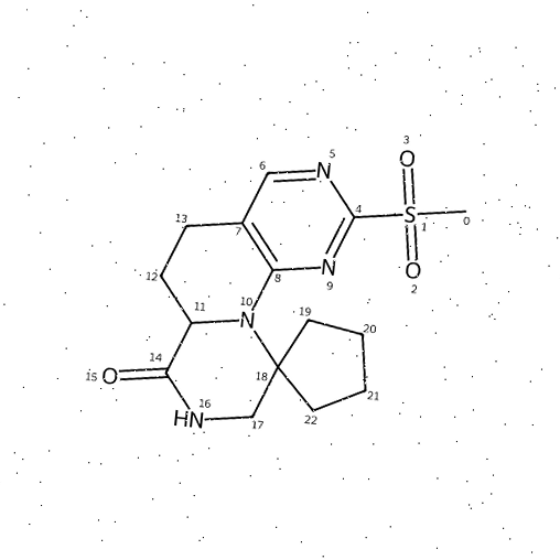 CS(=O)(=O)c1ncc2c(n1)N1C(CC2)C(=O)NCC12CCCC2